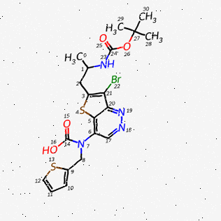 CC(Cc1sc2c(N(Cc3cccs3)C(=O)O)cnnc2c1Br)NC(=O)OC(C)(C)C